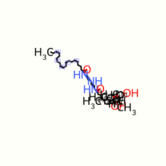 CC/C=C\C/C=C\C/C=C\C/C=C\C/C=C\CCCC(=O)NCCNCCNC(=O)CC[C@@H](C)C1CC[C@H]2[C@@H]3[C@H](O)[C@H](CC)[C@@H]4C[C@H](O)CC[C@]4(C)[C@H]3CC[C@]12C